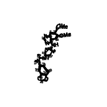 COc1cc2ncnc(Nc3ncc(NC(=S)N(C)c4ccc5c(c4)OCO5)cn3)c2cc1OC